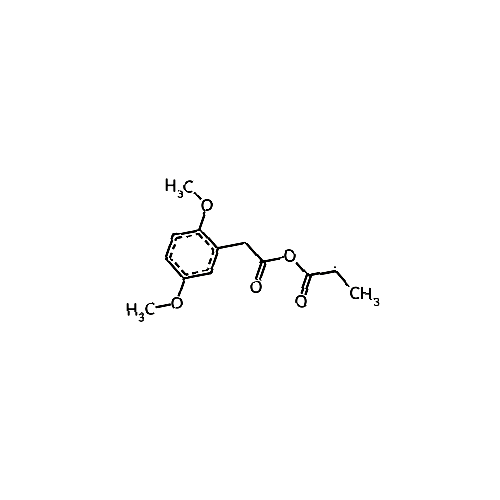 C[CH]C(=O)OC(=O)Cc1cc(OC)ccc1OC